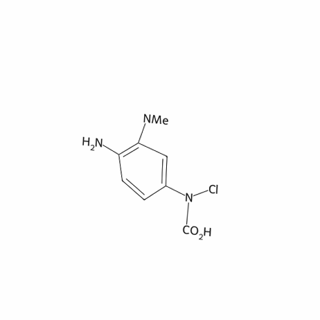 CNc1cc(N(Cl)C(=O)O)ccc1N